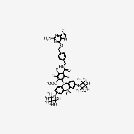 [2H]C1([2H])N(c2ccc3c(c2)[Si](C)(C)c2cc(N4C([2H])([2H])C([2H])([2H])C4([2H])[2H])ccc2[C+]3c2c(F)c(C(=O)NCc3ccc(COc4nc(N)nc5[nH]cnc45)cc3)c(F)c(F)c2C(=O)[O-])C([2H])([2H])C1([2H])[2H]